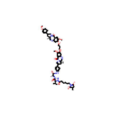 COc1ccc(C2=CN3C(=O)c4cc(OC)c(OCCCOc5cc6c(cc5OC)C(=O)N5C=C(c7ccc(NC(=O)[C@H](C)NC(=O)[C@@H](NC(=O)CCCCCN8C(=O)CC(C)C8=O)C(C)C)cc7)C[C@H]5C=N6)cc4N=C[C@@H]3C2)cc1